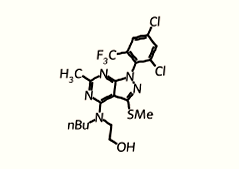 CCCCN(CCO)c1nc(C)nc2c1c(SC)nn2-c1c(Cl)cc(Cl)cc1C(F)(F)F